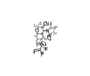 CC1(C)Oc2ccc(OC(F)(F)C(F)F)cc2C(N2CCCC2=O)C1O